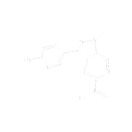 Cn1nc(-c2ccc(N)nc2)c2cc(C(=O)O)ccc21